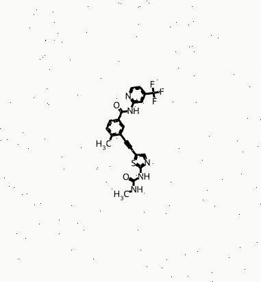 CNC(=O)Nc1ncc(C#Cc2cc(C(=O)Nc3cc(C(F)(F)F)ccn3)ccc2C)s1